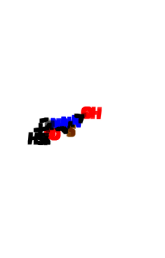 CC[C@H](NC(=O)c1csc(N2CC(O)C2)n1)C(O[SiH](C)C)C(C)(C)C